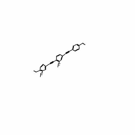 CCc1ccc(C#Cc2ccc(C#Cc3ccc(CC)c(F)c3)c(F)c2)cc1